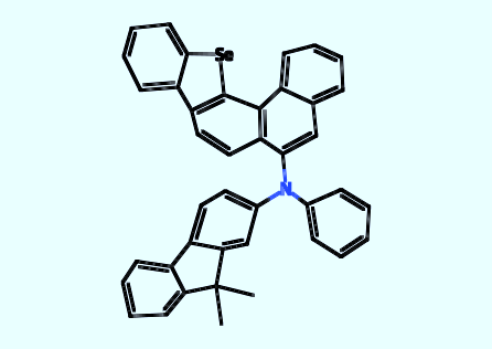 CC1(C)c2ccccc2-c2ccc(N(c3ccccc3)c3cc4ccccc4c4c3ccc3c5ccccc5[se]c34)cc21